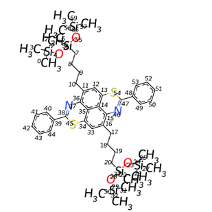 C[Si](C)(C)O[Si](C)(CCCCc1cc2c3c(c(CCCC[Si](C)(O[Si](C)(C)C)O[Si](C)(C)C)cc4c3c1N=C(c1ccccc1)S4)N=C(c1ccccc1)S2)O[Si](C)(C)C